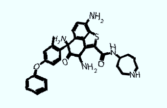 Cc1cc(Oc2ccccc2)ccc1C1(N)C(=O)C(N)c2c(C(=O)NC3CCCNCC3)sc3c(N)ccc1c23